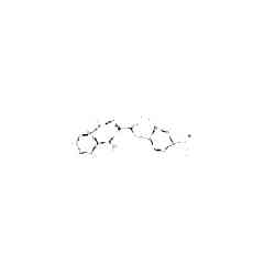 O=C(Nc1ccc([N+](=O)O)cc1Cl)c1ccc2ccccc2c1O